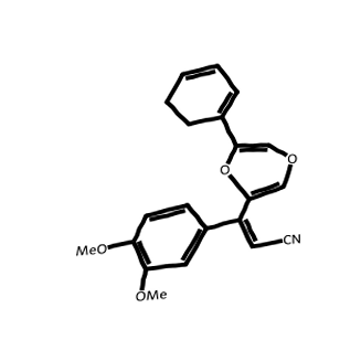 COc1ccc(C(=CC#N)C2=COC=C(C3=CC=CCC3)O2)cc1OC